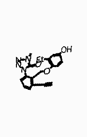 C#Cc1cccc(-n2nnn(C)c2=O)c1COc1ccc(O)cc1CC